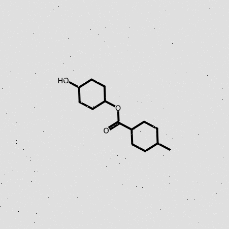 CC1CCC(C(=O)OC2CCC(O)CC2)CC1